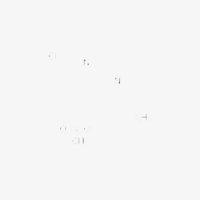 CCCc1ccc(-c2ncc(Cl)cc2-c2ccc(S(C)(=O)=O)cc2)cn1